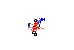 CC(C)[C@H](NP(=O)(OC[C@H]1S[C@@H](n2ccc(N)nc2=O)C[C@H]1O)Oc1ccc2ccccc2c1)C(=O)OCc1ccccc1